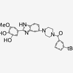 COc1cc(-c2nc3cc(N4CCN(C(=O)c5cccc(C(C)(C)C)c5)CC4)ccc3[nH]2)cc(O)c1O